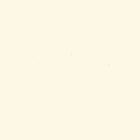 CN(c1cccc(-c2ccc(C#N)cc2Cl)c1)c1nc2nncn2c2cc(Cl)c(F)cc12